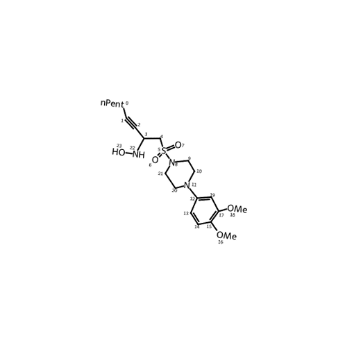 CCCCCC#CC(CS(=O)(=O)N1CCN(c2ccc(OC)c(OC)c2)CC1)NO